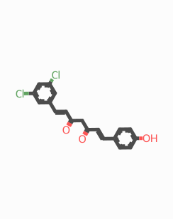 O=C(C=Cc1ccc(O)cc1)CC(=O)C=Cc1cc(Cl)cc(Cl)c1